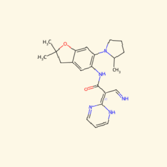 CC1CCCN1c1cc2c(cc1NC(=O)/C(C=N)=C1\N=CC=CN1)CC(C)(C)O2